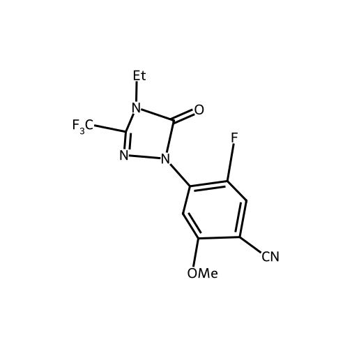 CCn1c(C(F)(F)F)nn(-c2cc(OC)c(C#N)cc2F)c1=O